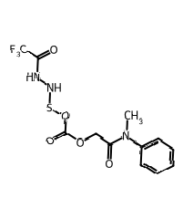 CN(C(=O)COC(=O)OSNNC(=O)C(F)(F)F)c1ccccc1